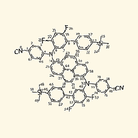 [C-]#[N+]c1ccc(N(c2cc(-c3ccc([Si](C)(C)C)cc3)c(F)cc2F)c2ccc3ccc4c(N(c5ccc(C#N)cc5)c5cc(-c6ccc([Si](C)(C)C)cc6)c(F)cc5F)ccc5ccc2c3c54)cc1